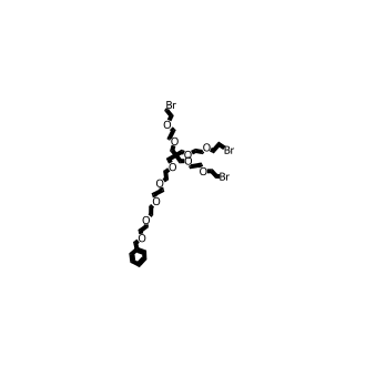 BrCCOCCOCC(COCCOCCBr)(COCCOCCBr)COCCOCCOCCOCCOCc1ccccc1